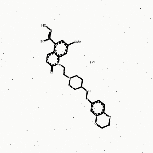 CC/C(=N\O)c1cc(OC)cc2c1ccc(=O)n2CCN1CCC(NCc2ccc3c(c2)OCCO3)CC1.Cl